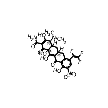 CN(C)[C@@H]1C(O)=C(C(N)=O)C(=O)[C@@]2(O)C(O)=C3C(=O)c4c(O)c([N+](=O)[O-])cc(C(F)=C(F)F)c4C[C@H]3C[C@@H]12